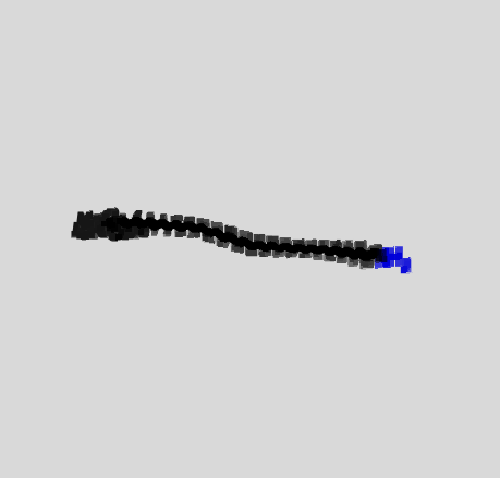 CO[Si](CCCCCCCCCCCCCCCCCCCCCCCCCCCCCCCCCCCCCCCN)(OC)OC